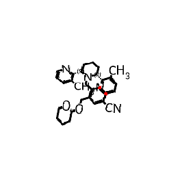 Cc1cccnc1[C@H]1CCC[C@@H](c2ncccc2C)N1Cc1ccc(C#N)cc1COC1CCCCO1